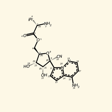 CC(C)[C@H](N)C(=O)OC[C@H]1O[C@@](C#N)(c2ccc3c(N)ccnn23)[C@H](O)[C@@H]1O